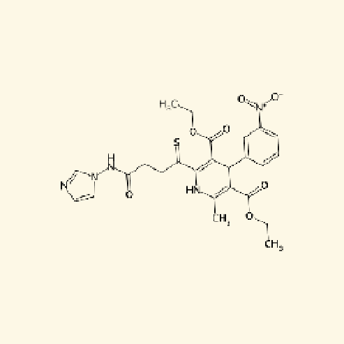 CCOC(=O)C1=C(C)NC(C(=S)CCC(=O)Nn2ccnc2)=C(C(=O)OCC)C1c1cccc([N+](=O)[O-])c1